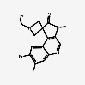 CC(C)CN1CC2(C1)C(=O)N(C)c1cnc3cc(F)c(Br)cc3c12